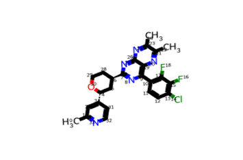 Cc1cc([C@H]2C[C@H](c3nc(-c4ccc(Cl)c(F)c4F)c4nc(C)c(C)nc4n3)CCO2)ccn1